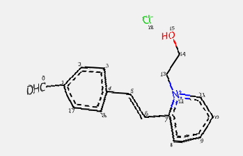 O=Cc1ccc(/C=C/c2cccc[n+]2CCO)cc1.[Cl-]